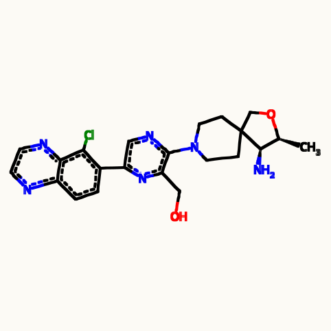 C[C@@H]1OCC2(CCN(c3ncc(-c4ccc5nccnc5c4Cl)nc3CO)CC2)[C@@H]1N